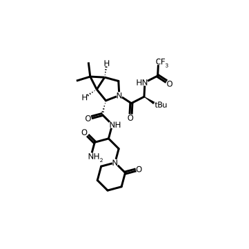 CC(C)(C)[C@H](NC(=O)C(F)(F)F)C(=O)N1C[C@H]2[C@@H]([C@H]1C(=O)NC(CN1CCCCC1=O)C(N)=O)C2(C)C